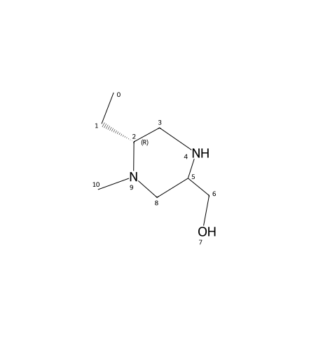 CC[C@@H]1CNC(CO)CN1C